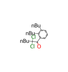 CCCCc1cccc(C(=O)C(Cl)(Cl)CCCC)c1CCCC